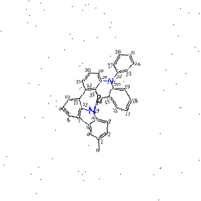 Cc1ccc2c(c1)c1cccc3c1n2B1c2ccccc2N(c2ccccc2)c2cccc-3c21